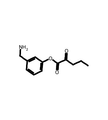 CCCC(=O)C(=O)Oc1cccc(CN)c1